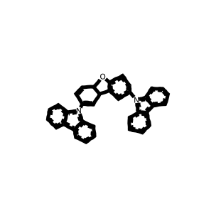 C1=CC2Oc3ccc(-n4c5ccccc5c5ccccc54)cc3C2C=C1n1c2ccccc2c2ccccc21